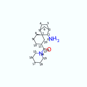 NC1C2CCC(C2)[C@]12CCCC(C(=O)N1CCCCC1)C2